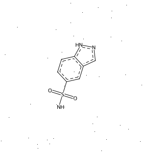 [NH]S(=O)(=O)c1ccc2[nH]ncc2c1